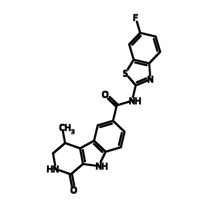 CC1CNC(=O)c2[nH]c3ccc(C(=O)Nc4nc5ccc(F)cc5s4)cc3c21